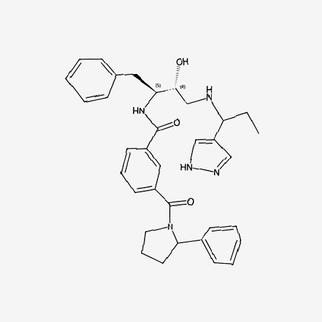 CCC(NC[C@@H](O)[C@H](Cc1ccccc1)NC(=O)c1cccc(C(=O)N2CCCC2c2ccccc2)c1)c1cn[nH]c1